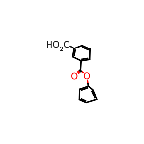 O=C(O)c1cccc(C(=O)Oc2ccccc2)c1